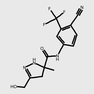 CC1(C(=O)Nc2ccc(C#N)c(C(F)(F)F)c2)CC(CO)=NN1